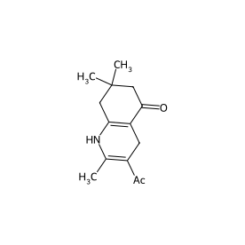 CC(=O)C1=C(C)NC2=C(C1)C(=O)CC(C)(C)C2